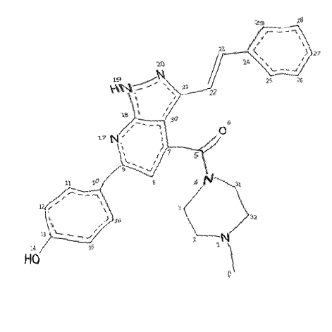 CN1CCN(C(=O)c2cc(-c3ccc(O)cc3)nc3[nH]nc(C=Cc4ccccc4)c23)CC1